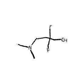 [CH2]N(C)CC(O)(F)F